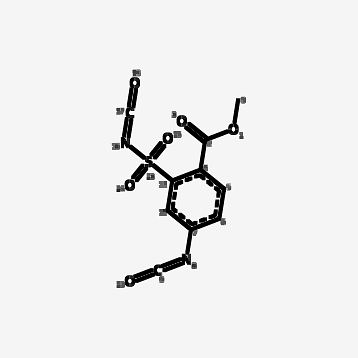 COC(=O)c1ccc(N=C=O)cc1S(=O)(=O)N=C=O